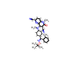 Cc1ccccc1/C(=N\OC(C)(C)C)C1CCC(N(C)c2c(C#N)c(=O)n(C)c3ccc(C#N)nc23)CC1